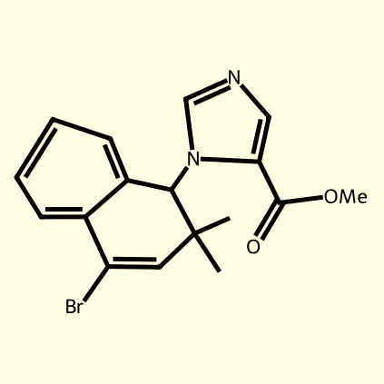 COC(=O)c1cncn1C1c2ccccc2C(Br)=CC1(C)C